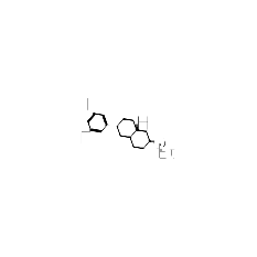 CCOC1CCC2C[C@H](c3cc(F)cc(F)c3)CC[C@@H]2C1